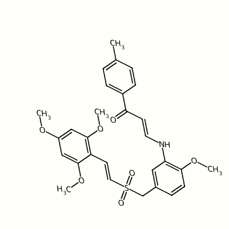 COc1cc(OC)c(C=CS(=O)(=O)Cc2ccc(OC)c(NC=CC(=O)c3ccc(C)cc3)c2)c(OC)c1